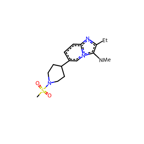 CCc1nc2ccc(C3CCN(S(C)(=O)=O)CC3)cn2c1NC